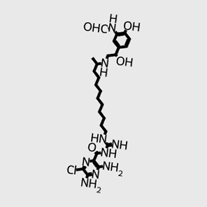 CC(CCCCCCCCCCNC(=N)NC(=O)c1nc(Cl)c(N)nc1N)NCC(O)c1ccc(O)c(NC=O)c1